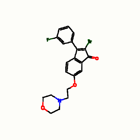 O=C1C(Br)=C(c2cccc(F)c2)c2ccc(OCCN3CCOCC3)cc21